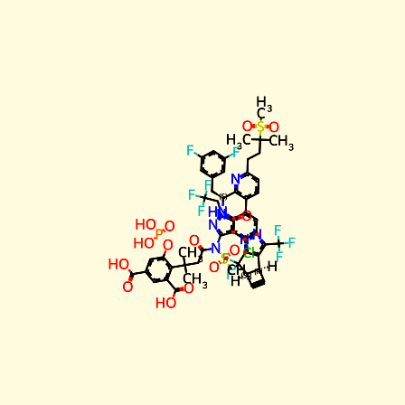 CC(C)(CC(=O)N(c1nn(CC(F)(F)F)c2c(-c3ccc(CCC(C)(C)S(C)(=O)=O)nc3[C@H](Cc3cc(F)cc(F)c3)NC(=O)Cn3nc(C(F)(F)F)c4c3C(F)(F)[C@@H]3C#C[C@H]43)ccc(Cl)c12)S(C)(=O)=O)c1c(OP(=O)(O)O)cc(C(=O)O)cc1C(=O)O